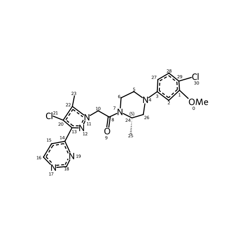 COc1cc(N2CCN(C(=O)Cn3nc(-c4ccncn4)c(Cl)c3C)[C@@H](C)C2)ccc1Cl